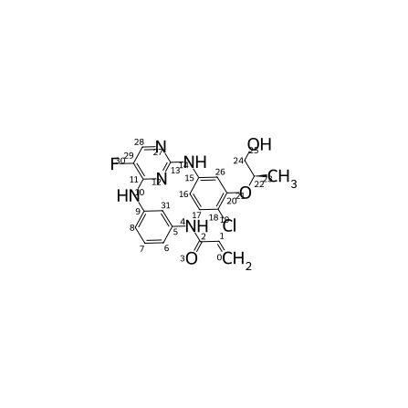 C=CC(=O)Nc1cccc(Nc2nc(Nc3ccc(Cl)c(O[C@H](C)CO)c3)ncc2F)c1